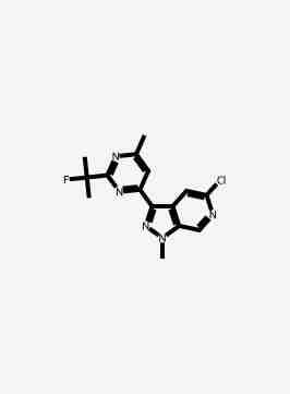 Cc1cc(-c2nn(C)c3cnc(Cl)cc23)nc(C(C)(C)F)n1